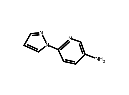 Nc1ccc(-n2cccn2)nc1